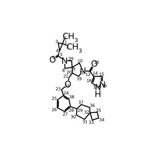 CC1(C)C[C@@H]1C(=O)N1CC2(CN(C(=O)c3cn[nH]c3)CC2COCc2cccc(C3CCC4(CCC4)CC3)c2)C1